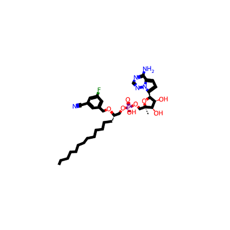 CCCCCCCCCCCCC[C@@H](COP(=O)(O)OC[C@@]1(C)O[C@@H](c2ccc3c(N)ncnn23)[C@H](O)[C@@H]1O)OCc1cc(F)cc(C#N)c1